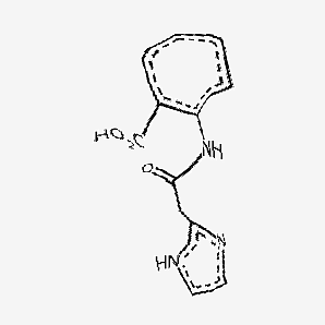 O=C(Nc1ccccc1C(=O)O)c1ncc[nH]1